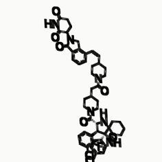 O=C1CCC(N2Cc3c(/C=C\C4CCN(C(=O)CC5CCN(C(=O)[C@@H]6NC7(CCCCC7)[C@@]7(C(=O)Nc8cc(Cl)ccc87)[C@H]6c6cccc(Cl)c6F)CC5)CC4)cccc3C2=O)C(=O)N1